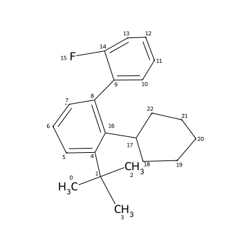 CC(C)(C)c1cc[c]c(-c2ccccc2F)c1C1CCCCC1